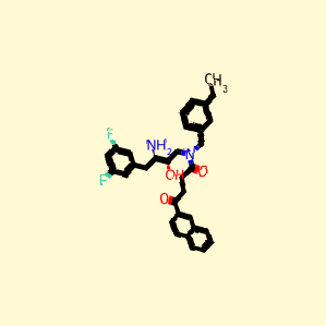 CCc1cccc(CN(C[C@@H](O)[C@@H](N)Cc2cc(F)cc(F)c2)C(=O)CCC(=O)c2ccc3ccccc3c2)c1